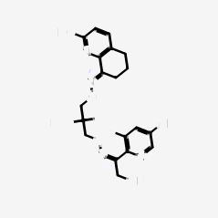 CC/C(=N/OCC(C)(C)CO/N=C1\CCCc2ccc(C)nc21)c1ncc(Cl)cc1F